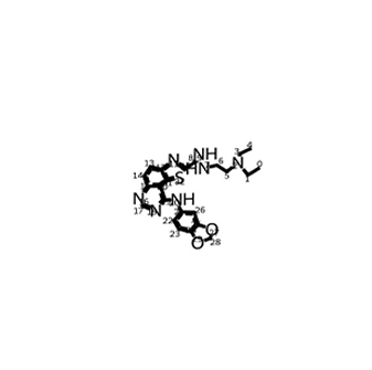 CCN(CC)CCNC(=N)c1nc2ccc3ncnc(Nc4ccc5c(c4)OCO5)c3c2s1